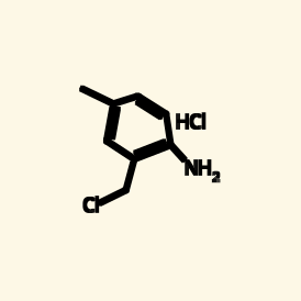 Cc1ccc(N)c(CCl)c1.Cl